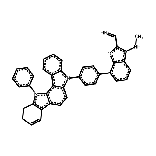 CNc1c(C=N)oc2c(-c3ccc(-n4c5ccccc5c5c6c(ccc54)c4c(n6-c5ccccc5)CCC=C4)cc3)cccc12